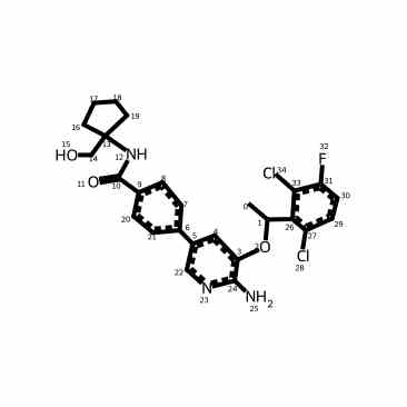 CC(Oc1cc(-c2ccc(C(=O)NC3(CO)CCCC3)cc2)cnc1N)c1c(Cl)ccc(F)c1Cl